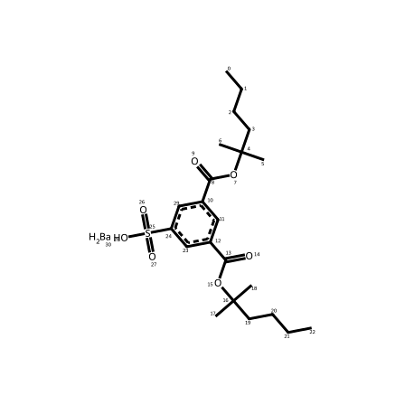 CCCCC(C)(C)OC(=O)c1cc(C(=O)OC(C)(C)CCCC)cc(S(=O)(=O)O)c1.[BaH2]